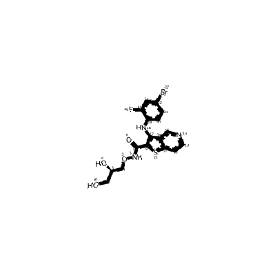 O=C(NOC[C@H](O)CO)c1sc2ccncc2c1Nc1ccc(Br)cc1F